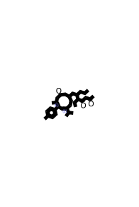 CCCC(CC1CC/C(C(C)C)=C\C(c2ccc(C)cc2)=C(\C)CC(=O)C1)C(CC)C(=O)CC(C)=O